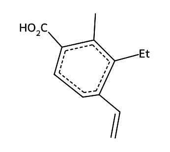 C=Cc1ccc(C(=O)O)c(C)c1CC